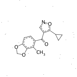 Cc1c(C(=O)c2cnoc2C2CC2)ccc2c1OCO2